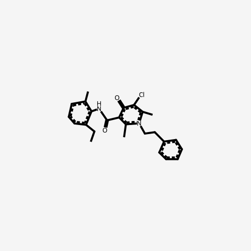 CCc1cccc(C)c1NC(=O)c1c(C)n(CCc2ccccc2)c(C)c(Cl)c1=O